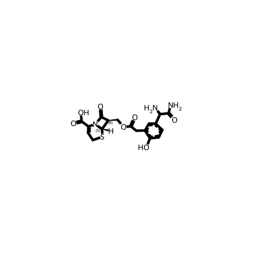 NC(=O)C(N)c1ccc(O)c(CC(=O)OC[C@@H]2C(=O)N3C(C(=O)O)=CCS[C@@H]23)c1